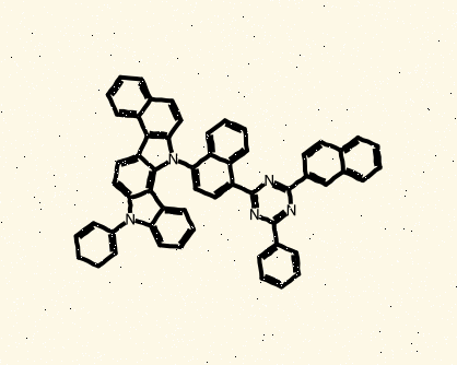 C1=CC(n2c3ccccc3c3c2ccc2c4c5ccccc5ccc4n(-c4ccc(-c5nc(-c6ccccc6)nc(-c6ccc7ccccc7c6)n5)c5ccccc45)c23)=CCC1